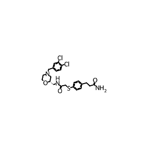 NC(=O)CCc1ccc(SCC(=O)NC[C@H]2CN(Cc3ccc(Cl)c(Cl)c3)CCO2)cc1